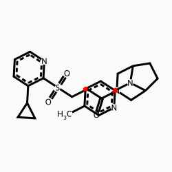 Cc1ccc(N2C3CCC2CN(C(=O)CCS(=O)(=O)c2ncccc2C2CC2)C3)nc1